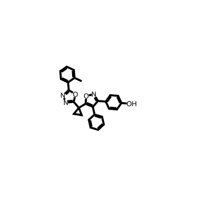 Cc1ccccc1-c1nnc(C2(c3onc(-c4ccc(O)cc4)c3-c3ccccc3)CC2)o1